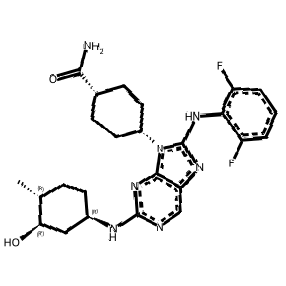 C[C@@H]1CC[C@@H](Nc2ncc3nc(Nc4c(F)cccc4F)n([C@H]4CC[C@@H](C(N)=O)CC4)c3n2)C[C@H]1O